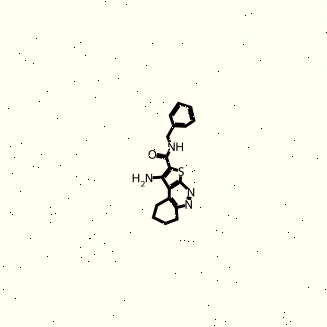 Nc1c(C(=O)NCc2ccccc2)sc2nnc3c(c12)CCCC3